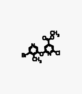 COC(=O)c1cc(Cl)nc(Oc2cncc(Br)c2C)c1